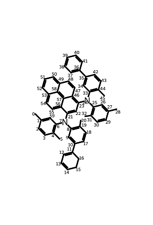 Cc1ccc(C)c(N(c2cc(C3=CC=CCC3)ccc2C)c2cc(N(c3cc(C)ccc3C)c3cc(-c4ccccc4)ccc3C)c3ccc4cccc5ccc2c3c54)c1